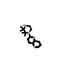 CC1(C)NCCN(c2ccc3ncccc3n2)C1(C)C